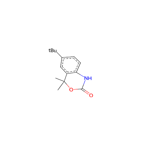 CC(C)(C)c1ccc2c(c1)C(C)(C)OC(=O)N2